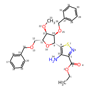 CCOC(=O)c1nsc([C@@H]2O[C@H](COCc3ccccc3)[C@@H](OC)[C@H]2OCc2ccccc2)c1N